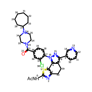 CC(=O)Nc1nc2c(s1)-c1c(c(-c3cccnc3)nn1-c1ccc(C(=O)N3CCN(C4CCCCCC4)CC3)cc1Cl)CC2